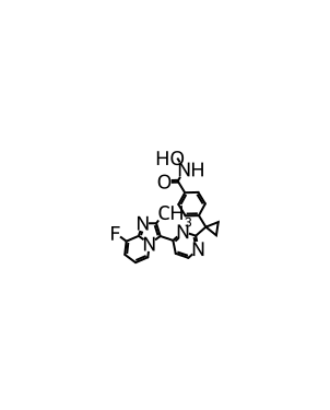 Cc1nc2c(F)cccn2c1-c1ccnc(C2(c3ccc(C(=O)NO)cc3)CC2)n1